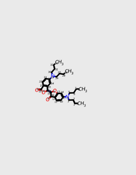 CCCCN(CCCC)c1ccc2c(c1)O/C(=C1/OC(=O)c3ccc(N(CCCC)CCCC)cc31)C2=O